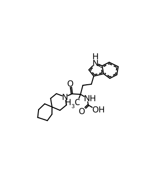 CC(CCc1c[nH]c2ccccc12)(NC(=O)O)C(=O)N1CCC2(CCCCC2)CC1